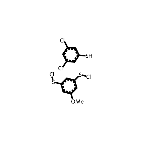 COc1cc(SCl)cc(SCl)c1.Sc1cc(Cl)cc(Cl)c1